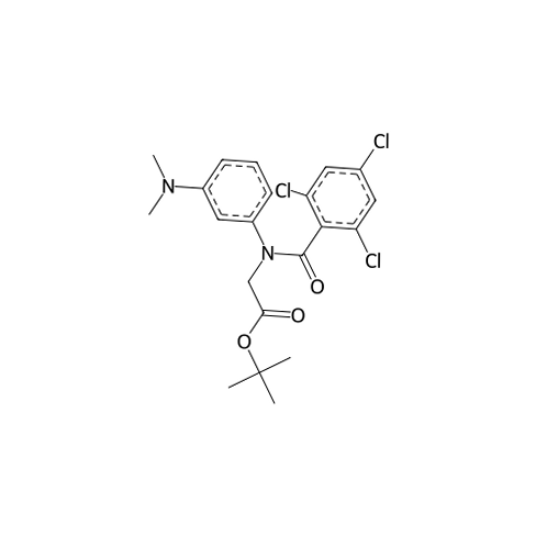 CN(C)c1cccc(N(CC(=O)OC(C)(C)C)C(=O)c2c(Cl)cc(Cl)cc2Cl)c1